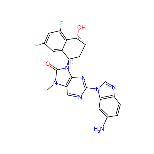 Cn1c(=O)n([C@@H]2CC[C@@H](O)c3c(F)cc(F)cc32)c2nc(-n3cnc4ccc(N)cc43)ncc21